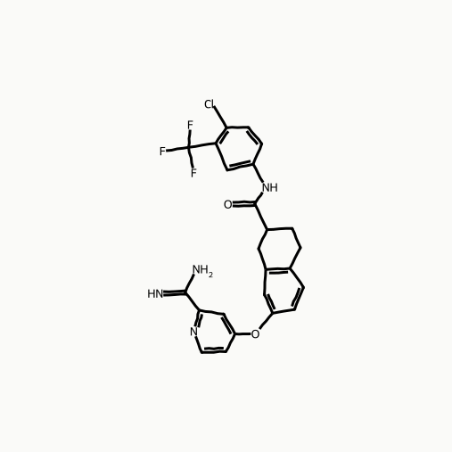 N=C(N)c1cc(Oc2ccc3c(c2)CC(C(=O)Nc2ccc(Cl)c(C(F)(F)F)c2)CC3)ccn1